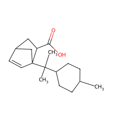 CC1CCC(C(C)(C)C23C=CC(CC2C(=O)O)C3)CC1